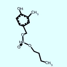 CCCCO[PH](=O)OCc1ccc(O)c(C)c1